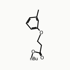 CCCCOC(=O)CCOc1cccc(C)c1